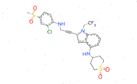 CS(=O)(=O)c1ccc(NCC#Cc2cc3c(NC4CCS(=O)(=O)CC4)cccc3n2CC(F)(F)F)c(Cl)c1